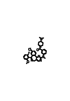 COc1cccc(F)c1C1=NCc2cnc(N(C)c3cccc(C(=O)N4CCC(N(C)C)CC4)c3)nc2-c2ccc(Cl)cc21